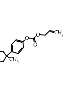 C=CCOC(=O)Oc1ccc(C2(C)CCCCC2)cc1